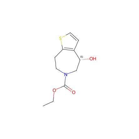 CCOC(=O)N1CCc2sccc2[C@H](O)C1